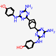 Nc1nc(Nc2ccc(O)cc2)nc(C2CC3CC2CC3c2nc(N)nc(Nc3ccc(O)cc3)n2)n1